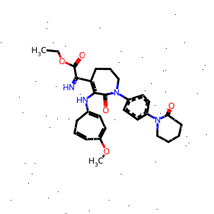 CCOC(=O)C(=N)C1=C(NC2=CC=C(OC)C=CC2)C(=O)N(c2ccc(N3CCCCC3=O)cc2)CCC1